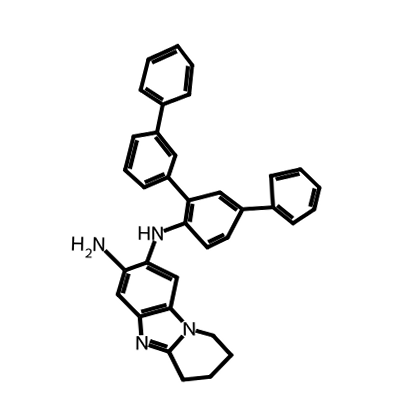 Nc1cc2nc3n(c2cc1Nc1ccc(-c2ccccc2)cc1-c1cccc(-c2ccccc2)c1)CCCC3